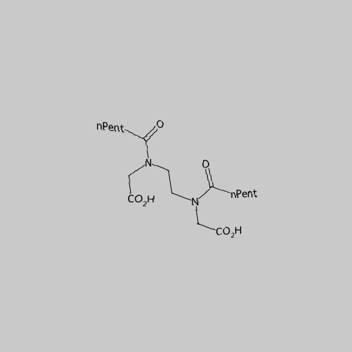 CCCCCC(=O)N(CCN(CC(=O)O)C(=O)CCCCC)CC(=O)O